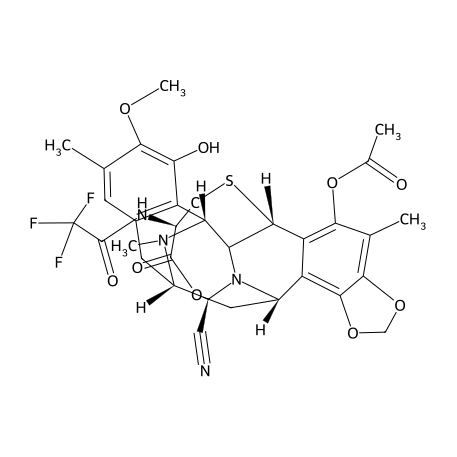 COc1c(C)cc2c(c1O)[C@@H]1C3[C@@H]4SC[C@H](NC(=O)C(F)(F)F)C(=O)OC[C@@H](c5c6c(c(C)c(OC(C)=O)c54)OCO6)N3[C@@H](C#N)[C@H](C2)N1C